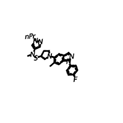 CCCn1cc(N(C)SC2CCN(c3cc4cnn(-c5ccc(F)cc5)c4cc3C)C2)cn1